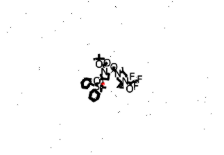 C[C@H]1CN(C(=O)C(F)(F)F)C2(CC2)CN1C(=O)[C@@H]1C[C@](C)(O[Si](c2ccccc2)(c2ccccc2)C(C)(C)C)CN1C(=O)OC(C)(C)C